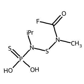 CC(C)N(SN(C)C(=O)F)P(O)(O)=S